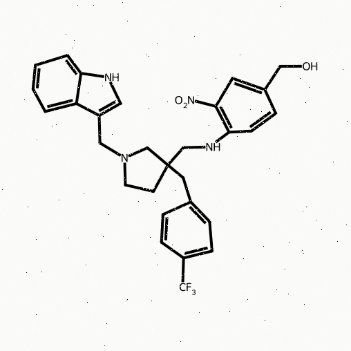 O=[N+]([O-])c1cc(CO)ccc1NCC1(Cc2ccc(C(F)(F)F)cc2)CCN(Cc2c[nH]c3ccccc23)C1